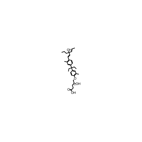 CCCC(O)(C=Cc1ccc(C(CC)(CC)c2ccc(OC[C@@H](O)CCC(=O)O)c(C)c2)cc1C)CCC